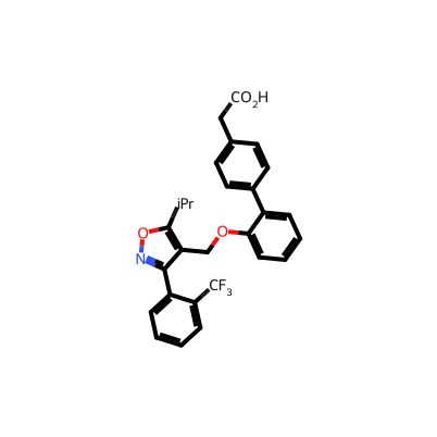 CC(C)c1onc(-c2ccccc2C(F)(F)F)c1COc1ccccc1-c1ccc(CC(=O)O)cc1